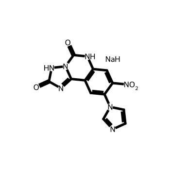 O=c1nc2c3cc(-n4ccnc4)c([N+](=O)[O-])cc3[nH]c(=O)n2[nH]1.[NaH]